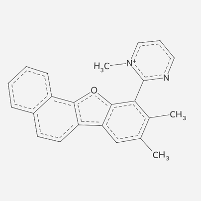 Cc1cc2c(oc3c4ccccc4ccc23)c(-c2nccc[n+]2C)c1C